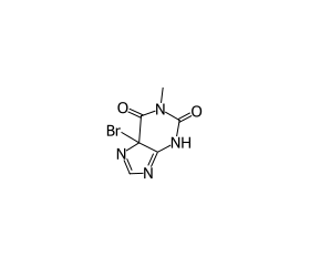 CN1C(=O)NC2=NC=NC2(Br)C1=O